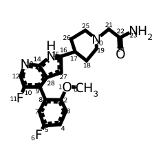 COc1ccc(F)cc1-c1c(F)cnc2[nH]c(C3CCN(CC(N)=O)CC3)cc12